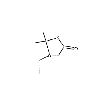 CCN1CC(=O)SC1(C)C